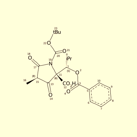 CC(C)[C@H](OC(=O)c1ccccc1)[C@]1(C(=O)O)C(=O)[C@@H](C)C(=O)N1C(=O)OC(C)(C)C